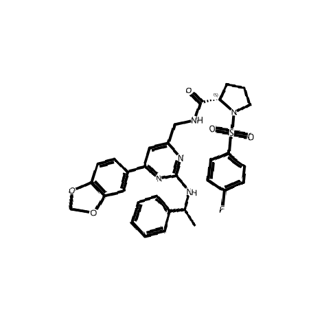 CC(Nc1nc(CNC(=O)[C@@H]2CCCN2S(=O)(=O)c2ccc(F)cc2)cc(-c2ccc3c(c2)OCO3)n1)c1ccccc1